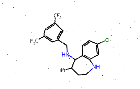 CC(C)C1CCNc2cc(Cl)ccc2C1NCc1cc(C(F)(F)F)cc(C(F)(F)F)c1